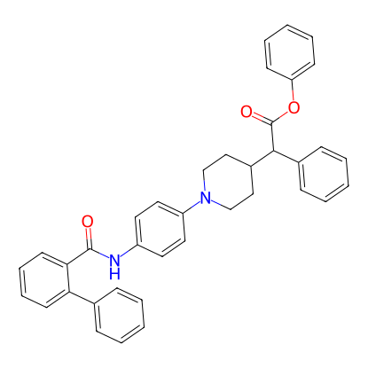 O=C(Nc1ccc(N2CCC(C(C(=O)Oc3ccccc3)c3ccccc3)CC2)cc1)c1ccccc1-c1ccccc1